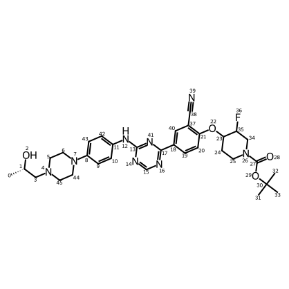 C[C@H](O)CN1CCN(c2ccc(Nc3ncnc(-c4ccc(OC5CCN(C(=O)OC(C)(C)C)CC5F)c(C#N)c4)n3)cc2)CC1